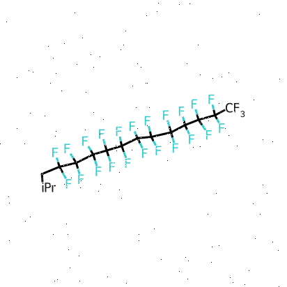 CC(C)CC(F)(F)C(F)(F)C(F)(F)C(F)(F)C(F)(F)C(F)(F)C(F)(F)C(F)(F)C(F)(F)C(F)(F)C(F)(F)C(F)(F)F